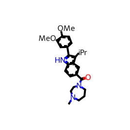 COc1ccc(-c2[nH]c3ccc(C(=O)N4CCCN(C)CC4)cc3c2C(C)C)cc1OC